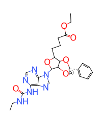 CCNC(=O)Nc1ncnc2c1ncn2C1OC(CCCC(=O)OCC)C2O[C@H](c3ccccc3)OC21